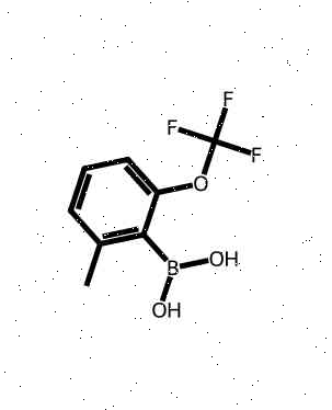 Cc1cccc(OC(F)(F)F)c1B(O)O